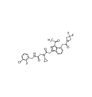 CC(=O)c1nn(CC(=O)N(CC(=O)NCc2cccc(Cl)c2F)C2CC2)c2cccc(CC(=O)N3CC(F)(F)C3)c12